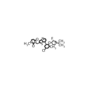 Cc1cc(Cl)cc(-c2ccnc3cc(Cn4c(=O)ccn(C)c4=O)sc23)c1O[C@H]1CCN(C(C)C)C[C@@H]1F